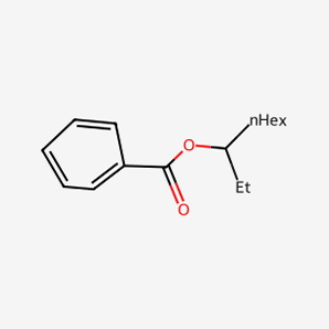 CCCCCCC(CC)OC(=O)c1ccccc1